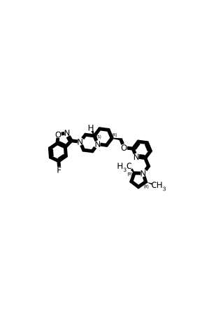 C[C@@H]1CC[C@@H](C)N1Cc1cccc(OC[C@@H]2CC[C@H]3CN(c4noc5ccc(F)cc45)CCN3C2)n1